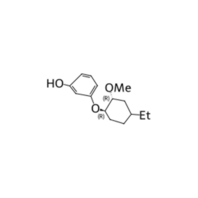 CCC1CC[C@@H](Oc2cccc(O)c2)[C@H](OC)C1